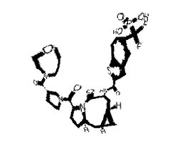 O=C(N[C@H]1C[C@@H]2C[C@@H]2C[C@H]2CC[C@@H](C(=O)N3CC[C@H](C(=O)N4CCOCC4)C3)N2C1=O)c1cc2cc(C(F)(F)P(=O)(O)O)ccc2s1